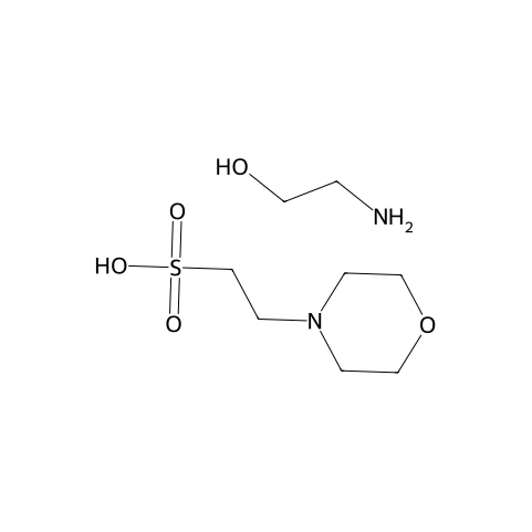 NCCO.O=S(=O)(O)CCN1CCOCC1